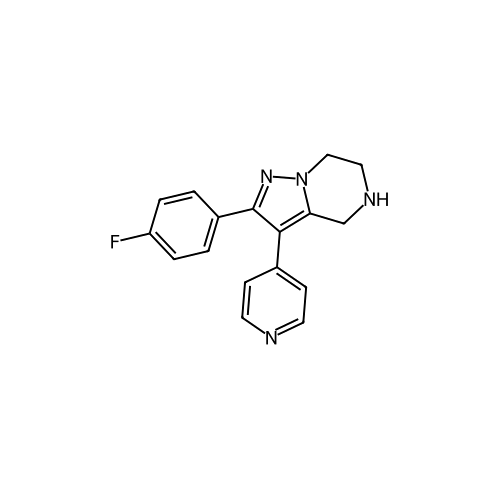 Fc1ccc(-c2nn3c(c2-c2ccncc2)CNCC3)cc1